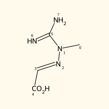 CN(/N=C/C(=O)O)C(=N)N